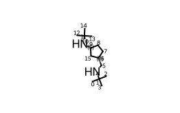 CC(C)(C)NC[C@@H]1CC[C@H](NC(C)(C)C)C1